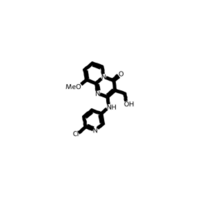 COc1cccn2c(=O)c(CO)c(Nc3ccc(Cl)nc3)nc12